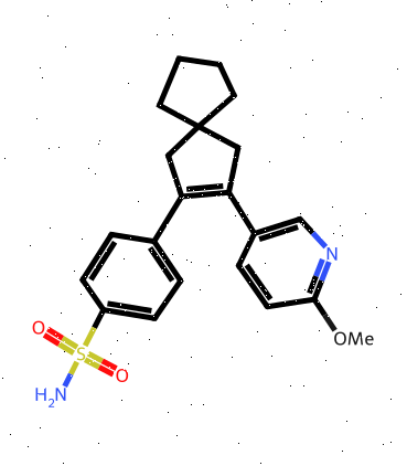 COc1ccc(C2=C(c3ccc(S(N)(=O)=O)cc3)CC3(CCCC3)C2)cn1